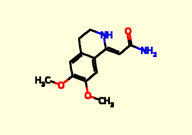 COc1cc2c(cc1OC)C(=CC(N)=O)NCC2